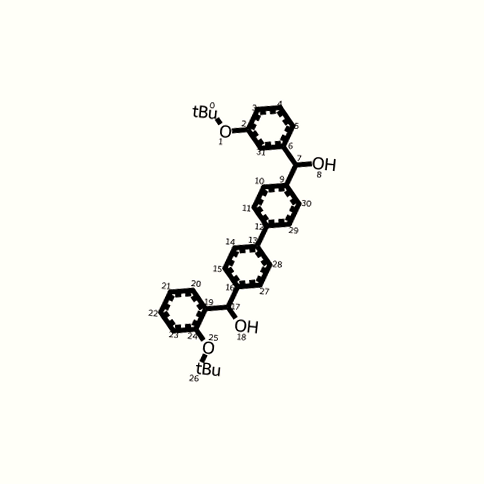 CC(C)(C)Oc1cccc(C(O)c2ccc(-c3ccc(C(O)c4ccccc4OC(C)(C)C)cc3)cc2)c1